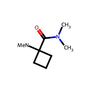 CNC1(C(=O)N(C)C)CCC1